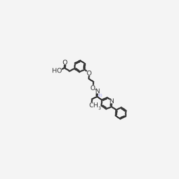 CC/C(=N\OCCOc1cccc(CC(=O)O)c1)c1ccc(-c2ccccc2)nc1